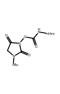 CCCCCCNC(=O)ON1C(=O)CN(CCCC)C1=O